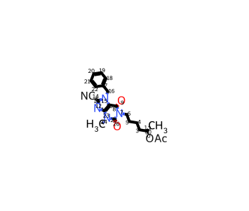 CC(=O)O[C@H](C)CCCCn1c(=O)c2c(nc(C#N)n2Cc2ccccc2)n(C)c1=O